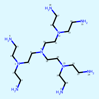 NCCN(CCN)CCN(CCN(CCN)CCN)CCN(CCN)CCN